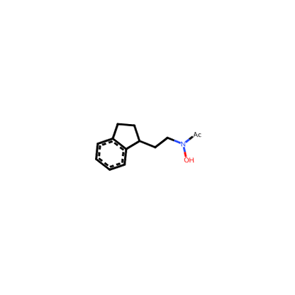 CC(=O)N(O)CCC1CCc2ccccc21